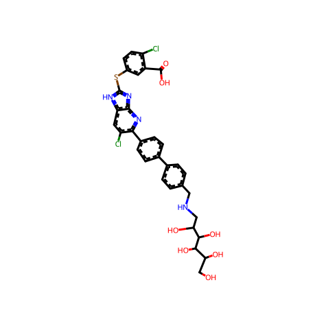 O=C(O)c1cc(Sc2nc3nc(-c4ccc(-c5ccc(CNCC(O)C(O)C(O)C(O)CO)cc5)cc4)c(Cl)cc3[nH]2)ccc1Cl